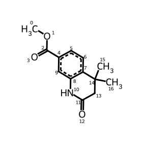 COC(=O)c1ccc2c(c1)NC(=O)CC2(C)C